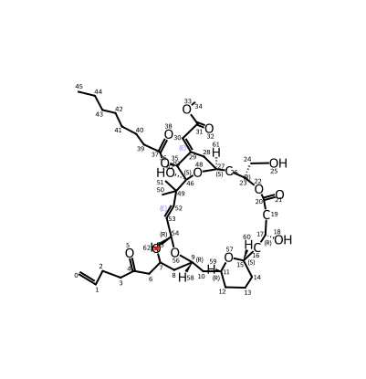 C=CCCC(=O)CC1C[C@H]2C[C@H]3CCC[C@@H](C[C@@H](O)CC(=O)O[C@@H](CO)C[C@@H]4C/C(=C\C(=O)OC)[C@H](OC(=O)CCCCCCC)[C@@](O)(O4)C(C)(C)/C=C/[C@@H](O1)O2)O3